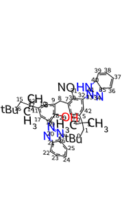 CC(C)(C)CC(C)(C)c1cc(Cc2cc(C(C)(C)CC(C)(C)C)cc(-n3nc4ccccc4n3)c2O)c(N=O)c(N2N=C3C=CC=CC3N2)c1